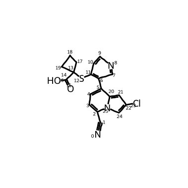 N#Cc1ccc(-c2cnccc2SC2(C(=O)O)CCC2)c2cc(Cl)cn12